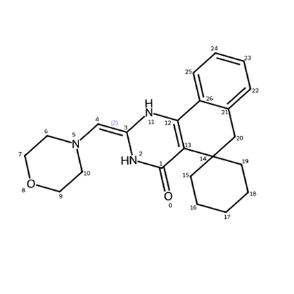 O=C1N/C(=C\N2CCOCC2)NC2=C1C1(CCCCC1)Cc1ccccc12